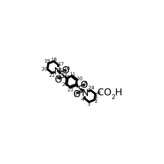 O=C(O)[C@@H]1CCCN(S(=O)(=O)c2ccc(S(=O)(=O)N3CCCCC3)cc2)C1